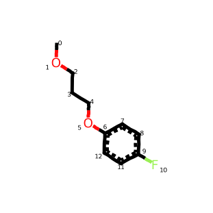 COCCCOc1ccc(F)cc1